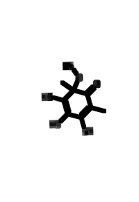 CC1=C(S)C(S)=C(S)C(C)(OS)C1=O